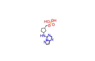 O=P(O)(O)OC[C@@H]1CC[C@H](Nc2ncnc3ccnn23)C1